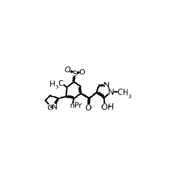 CCCC1=C(C2=NOCC2)C(C)C(=S(=O)=O)C=C1C(=O)c1cnn(C)c1O